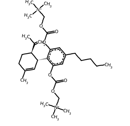 C=C(C)[C@@H]1CCC(C)=C[C@H]1c1c(OC(=O)OC[N+](C)(C)C)cc(CCCCC)cc1OC(=O)OC[N+](C)(C)C